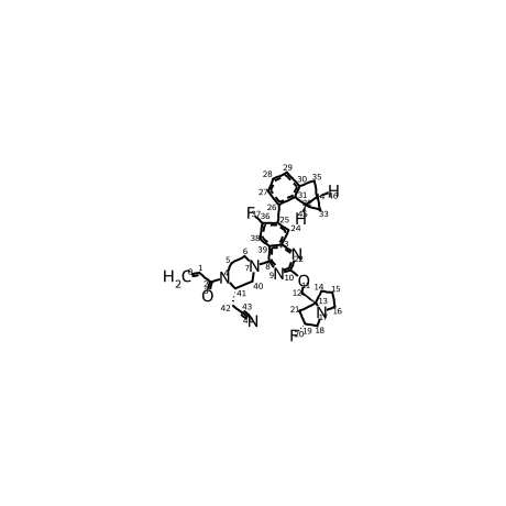 C=CC(=O)N1CCN(c2nc(OC[C@@]34CCCN3C[C@H](F)C4)nc3cc(-c4cccc5c4[C@H]4C[C@H]4C5)c(F)cc23)C[C@@H]1CC#N